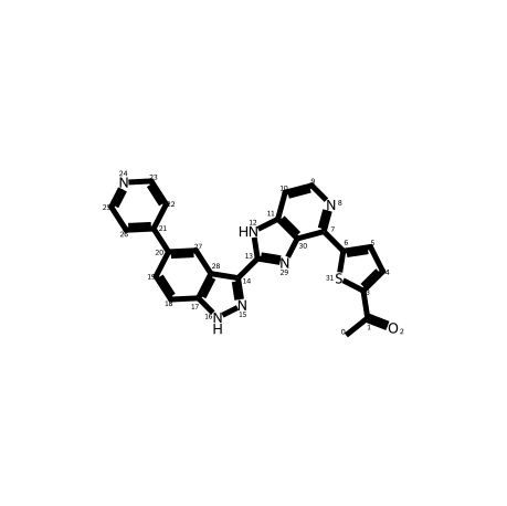 CC(=O)c1ccc(-c2nccc3[nH]c(-c4n[nH]c5ccc(-c6ccncc6)cc45)nc23)s1